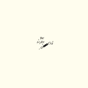 [BaH2].[O]=[Cu].[Re]